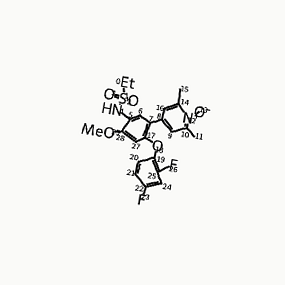 CCS(=O)(=O)Nc1cc(-c2cc(C)[n+]([O-])c(C)c2)c(Oc2ccc(F)cc2F)cc1OC